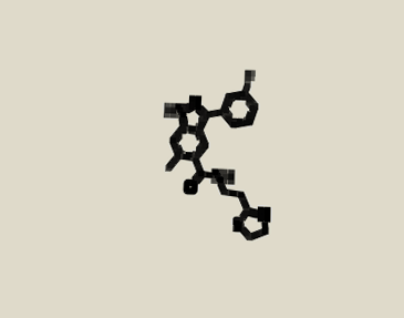 Cc1cc2[nH]nc(-c3cccc(F)c3)c2cc1C(=O)NCCC1=NCCS1